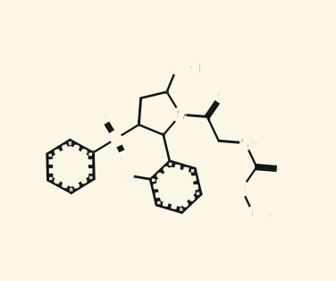 CC(C)(C)OC(=O)NCC(=O)N1C(C(=O)O)CC(S(=O)(=O)c2ccccc2)C1c1ccccc1F